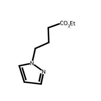 CCOC(=O)CCCn1cccn1